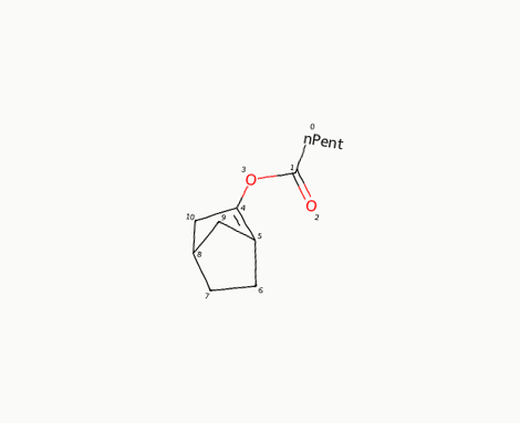 CCCCCC(=O)OC1=C2CCC(C2)C1